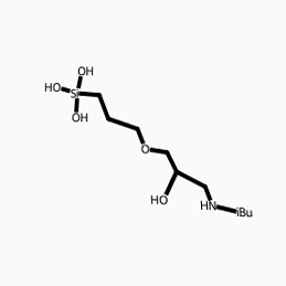 CCC(C)NCC(O)COCCC[Si](O)(O)O